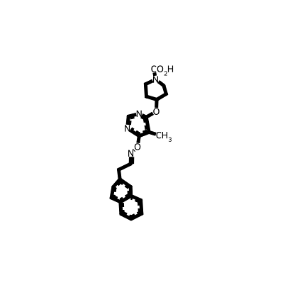 Cc1c(ON=CCc2ccc3ccccc3c2)ncnc1OC1CCN(C(=O)O)CC1